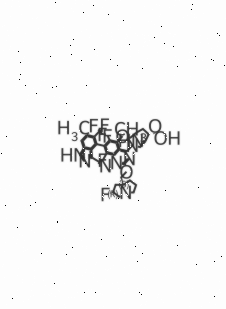 COc1c(F)c(-c2c(C(F)(F)F)c(C)cc3[nH]nc(C#N)c23)c(F)c2nc(OC[C@@]34CCCN3C[C@H](F)C4)nc(N3CC4CCC(C3)N4)c12.O=CO